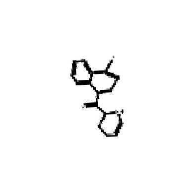 O=C(c1ccc(F)c2ccccc12)C1CCC=CN1